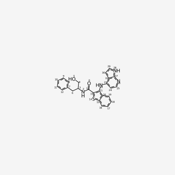 O=C(NC(CO)Cc1ccccc1)c1sc2ccccc2c1Nc1ccnc2[nH]ccc12